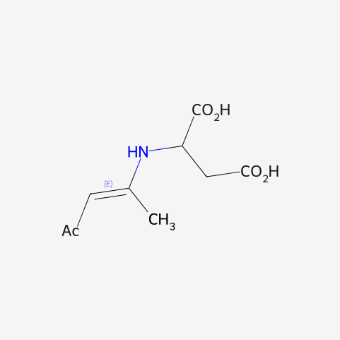 CC(=O)/C=C(\C)NC(CC(=O)O)C(=O)O